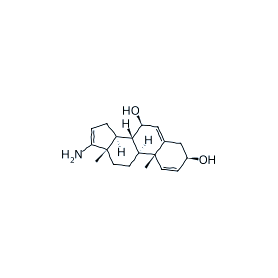 C[C@]12C=C[C@H](O)CC1=C[C@H](O)[C@@H]1[C@@H]2CC[C@]2(C)C(N)=CC[C@@H]12